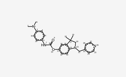 CN(C)c1ccc(NC(=O)Oc2ccc3c(c2)C(C)(C)CN3Cc2ccncc2)cc1